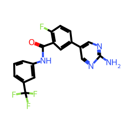 Nc1ncc(-c2ccc(F)c(C(=O)Nc3cccc(C(F)(F)F)c3)c2)cn1